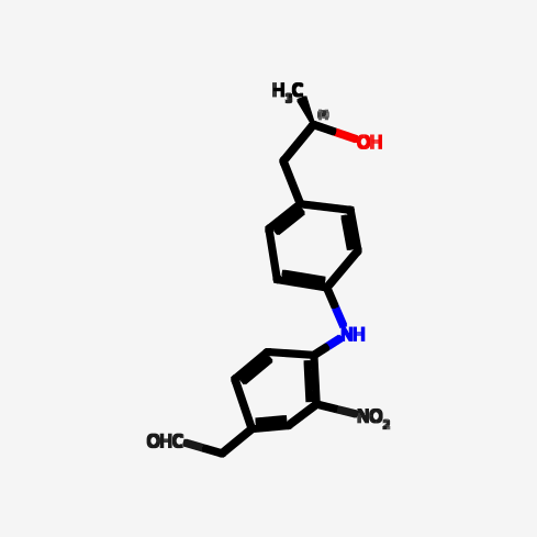 C[C@@H](O)Cc1ccc(Nc2ccc(CC=O)cc2[N+](=O)[O-])cc1